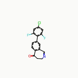 O=C1CCN=Cc2cc(-c3c(F)cc(Cl)cc3F)ccc21